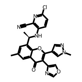 Cc1cc([C@@H](C)Nc2ccc(Cl)nc2C#N)c2oc(-c3cnn(C)c3)c(-c3cocn3)c(=O)c2c1